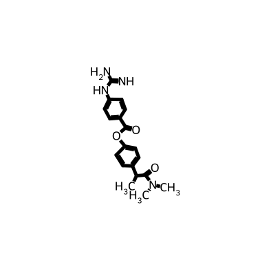 CC(C(=O)N(C)C)c1ccc(OC(=O)c2ccc(NC(=N)N)cc2)cc1